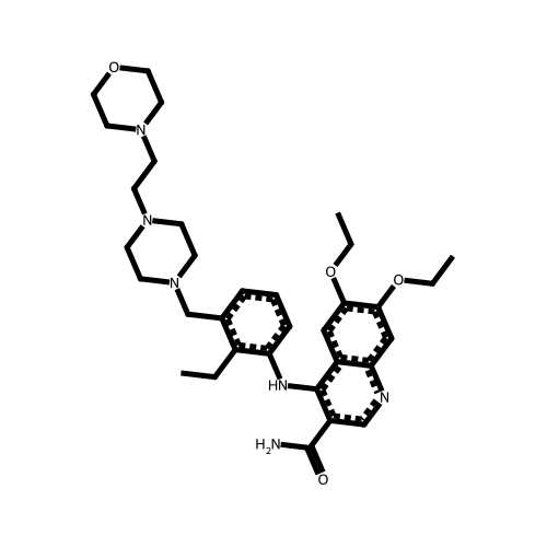 CCOc1cc2ncc(C(N)=O)c(Nc3cccc(CN4CCN(CCN5CCOCC5)CC4)c3CC)c2cc1OCC